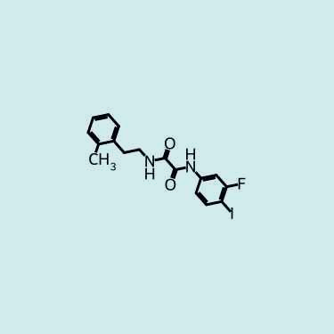 Cc1ccccc1CCNC(=O)C(=O)Nc1ccc(I)c(F)c1